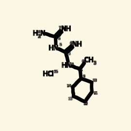 CC(NC(=N)NC(=N)N)C1CCCCC1.Cl